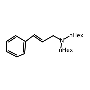 CCCCCCN(CC=Cc1ccccc1)CCCCCC